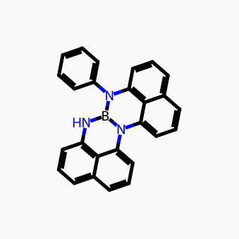 c1ccc(N2B3Nc4cccc5cccc(c45)N3c3cccc4cccc2c34)cc1